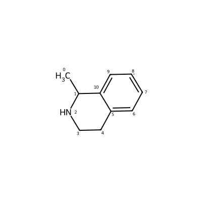 CC1NCCc2cc[c]cc21